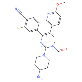 COc1ccc(/C(C)=C(/N=C(\N(C)C=O)N2CCC(N)CC2)c2ccc(C#N)c(F)c2)cn1